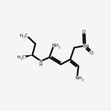 CC[C@H](C)N/C(N)=C/C(=C\N)C[SH](=O)=O